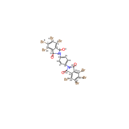 O=C1c2c(Br)c(Br)c(Br)c(Br)c2C(=O)N1c1ccc(N2C(=O)c3c(Br)c(Br)c(Br)c(Br)c3C2=O)cc1